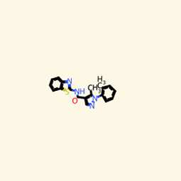 Cc1ccccc1-n1ncc(C(=O)Nc2nc3ccccc3s2)c1C